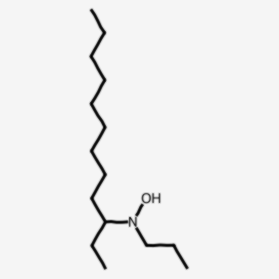 CCCCCCCCCC(CC)N(O)CCC